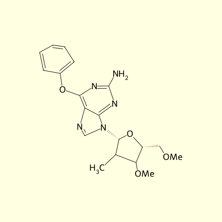 COC[C@H]1O[C@@H](n2cnc3c(Oc4ccccc4)nc(N)nc32)C(C)C1OC